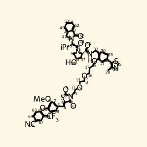 COc1cc(/C=C2\SC(=O)N(CCOCCOCCCOc3cc(-c4scnc4C)ccc3CNC(=O)[C@@H]3C[C@@H](O)CN3C(=O)[C@H](C(C)C)N3Cc4ccccc4C3=O)C2=O)ccc1Oc1ccc(C#N)cc1C(F)(F)F